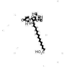 O=C(O)CCCCCCCCCCCCCCCOC1C(O[PH](=O)O)[C@@H](CO)O[C@H]1n1ccc(=O)[nH]c1=O